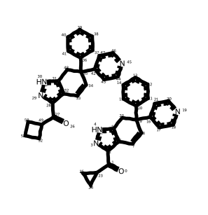 O=C(c1n[nH]c2c1C=CC(c1ccccc1)(c1ccncc1)C2)C1CC1.O=C(c1n[nH]c2c1C=CC(c1ccccc1)(c1ccncc1)C2)C1CCC1